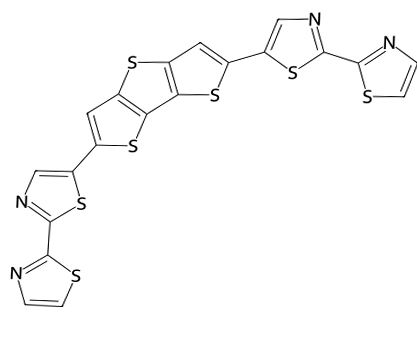 c1csc(-c2ncc(-c3cc4sc5cc(-c6cnc(-c7nccs7)s6)sc5c4s3)s2)n1